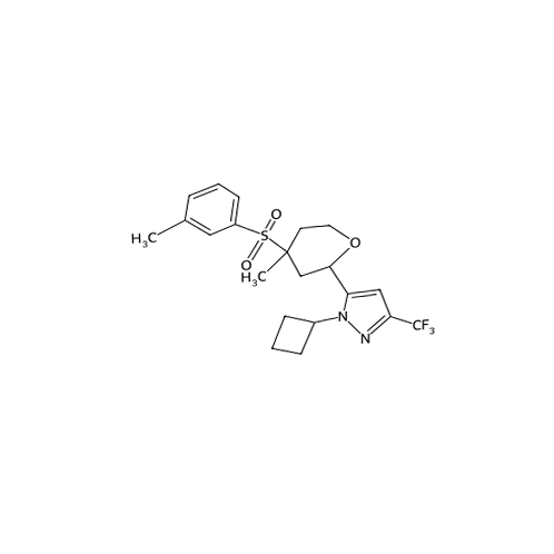 Cc1cccc(S(=O)(=O)C2(C)CCOC(c3cc(C(F)(F)F)nn3C3CCC3)C2)c1